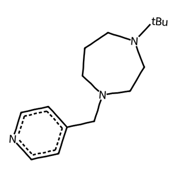 CC(C)(C)N1CCCN(Cc2ccncc2)CC1